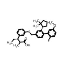 CC[C@@H](c1cccc(SCc2ccc(-c3cc(OC)ccc3F)c([C@@H]3CCCC3(C)C)c2)c1)C(C)C(=O)O